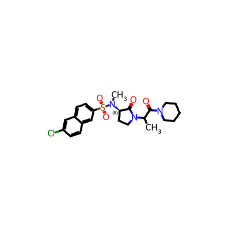 CC(C(=O)N1CCCCC1)N1CC[C@@H](N(C)S(=O)(=O)c2ccc3cc(Cl)ccc3c2)C1=O